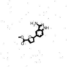 COC(=O)C1=CCC(c2ccc3[nH]nc(N)c3c2)O1